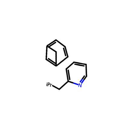 CC(C)Cc1ccccn1.c1cc2cc(c1)C2